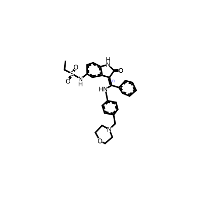 CCS(=O)(=O)Nc1ccc2c(c1)/C(=C(\Nc1ccc(CN3CCOCC3)cc1)c1ccccc1)C(=O)N2